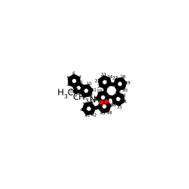 CC1(C)c2ccccc2-c2ccc(N(c3ccc4c(c3)-c3ccccc3-c3ccccc3-c3ccccc3-4)c3ccccc3-c3ccccc3)cc21